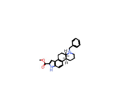 COC(=O)c1cc2c3c(ccc2[nH]1)[C@@H]1CCCN(Cc2ccccc2)[C@H]1CC3